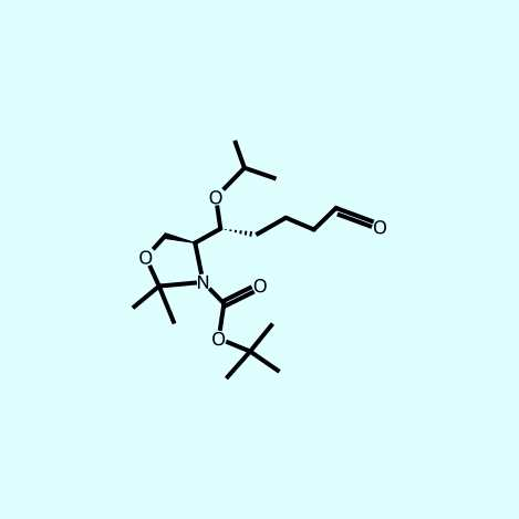 CC(C)O[C@H](CCCC=O)[C@@H]1COC(C)(C)N1C(=O)OC(C)(C)C